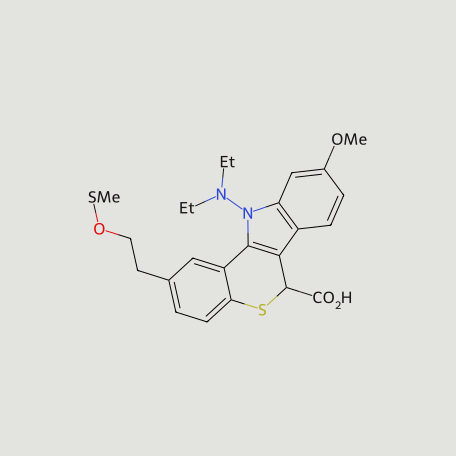 CCN(CC)n1c2c(c3ccc(OC)cc31)C(C(=O)O)Sc1ccc(CCOSC)cc1-2